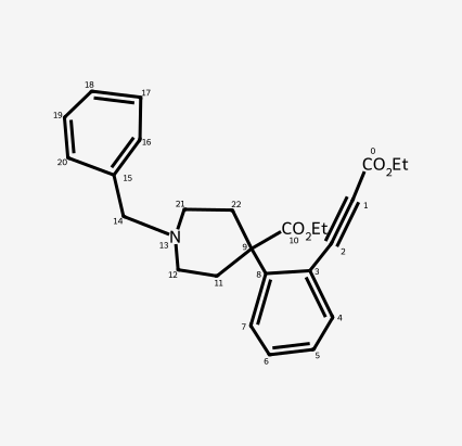 CCOC(=O)C#Cc1ccccc1C1(C(=O)OCC)CCN(Cc2ccccc2)CC1